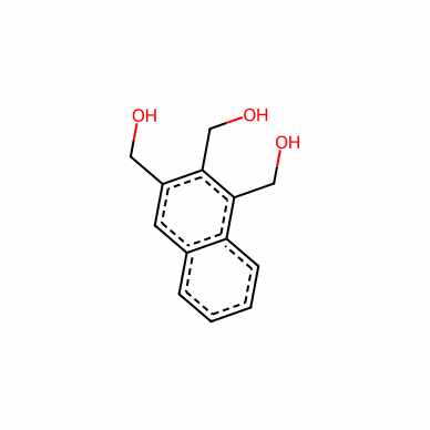 OCc1cc2ccccc2c(CO)c1CO